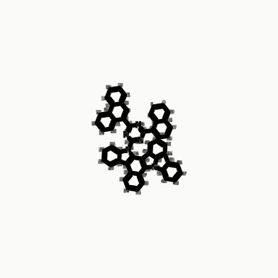 c1ccc2c(-c3nc(-c4cc5ccccc5c5ccccc45)nc(-n4c5ccccc5c5c6ccccc6c6c(c7cccc8c9ccccc9n6c87)c54)n3)cccc2c1